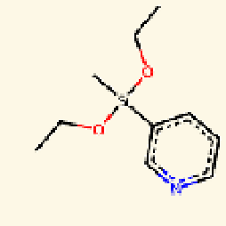 CCO[Si](C)(OCC)c1cccnc1